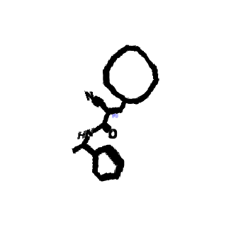 CC(NC(=O)/C(C#N)=C/C1CCCCCCCCCCC1)c1ccccc1